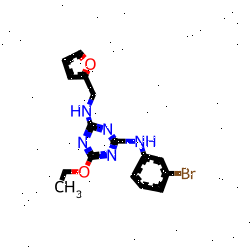 CCOc1nc(NCc2ccco2)nc(Nc2cccc(Br)c2)n1